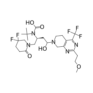 COCCc1nc2c(c(C(F)(F)F)n1)CCN(C(O)C[C@@H](CN1CC(F)(F)CCC1=O)N(C(=O)O)C(C)(C)C)C2